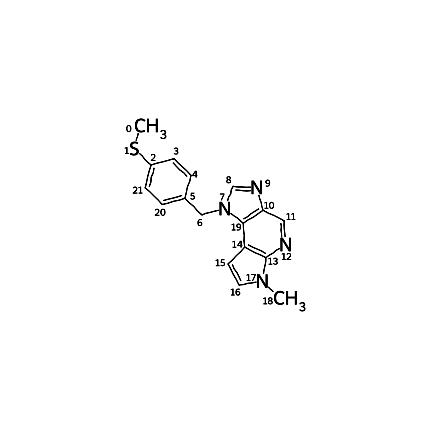 CSc1ccc(Cn2cnc3cnc4c(ccn4C)c32)cc1